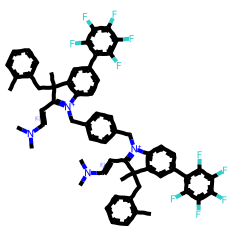 Cc1ccccc1CC1(C)C(/C=C/N(C)C)=[N+](Cc2ccc(C[N+]3=C(/C=C/N(C)C)C(C)(Cc4ccccc4C)c4cc(-c5c(F)c(F)c(F)c(F)c5F)ccc43)cc2)c2ccc(-c3c(F)c(F)c(F)c(F)c3F)cc21